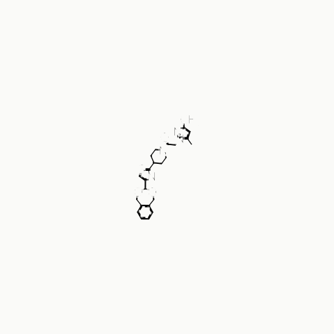 Cc1cc(C(F)(F)F)nn1CC(=O)N1CCC(c2nc(C3OCc4ccccc4CO3)cs2)CC1